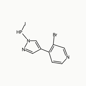 Brc1cnccc1-c1cnn(PI)c1